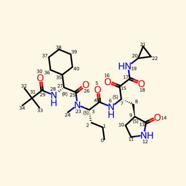 CCC[C@@H](C(=O)N[C@@H](C[C@@H]1CCNC1=O)C(=O)C(=O)NC1CC1)N(C)C(=O)[C@H](NC(=O)C(C)(C)C)C1CCCCC1